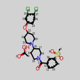 CC(=O)O.CS(=O)(=O)c1cccc(C(=O)N2CCC(N3CCC(Oc4ccc(Cl)c(Cl)c4)CC3)CC2)c1